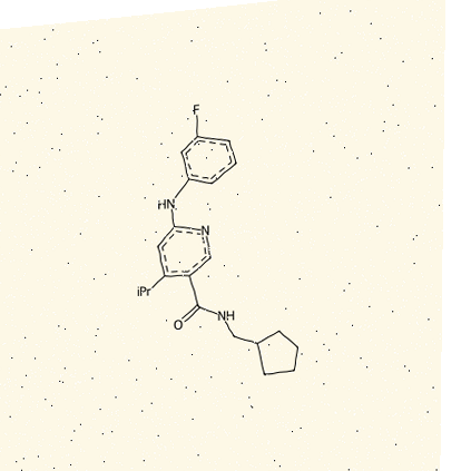 CC(C)c1cc(Nc2cccc(F)c2)ncc1C(=O)NCC1CCCC1